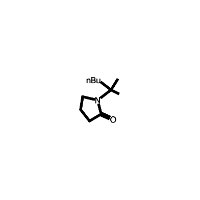 CCCCC(C)(C)N1CCCC1=O